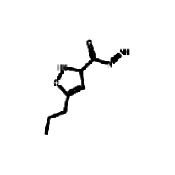 CCCC1=CC(C(=O)N=N)NO1